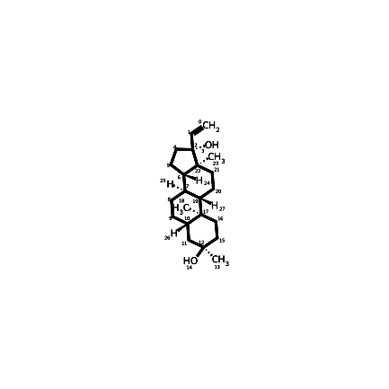 C=C[C@]1(O)CC[C@H]2[C@@H]3CC[C@H]4C[C@](C)(O)CC[C@]4(C)[C@H]3CC[C@@]21C